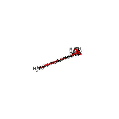 CC(C)(C)C(=O)CN1C(=O)[C@H](NC(=O)Nc2cccc(C(=O)NCCOCCOCCOCCOCCOCCOCCOCCOCCOCCOCCOCCOCCC(=O)NCCN)c2)CN(C2CCCCC2)c2ccccc21